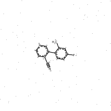 Cc1cc(F)ccc1-c1cnccc1C#N